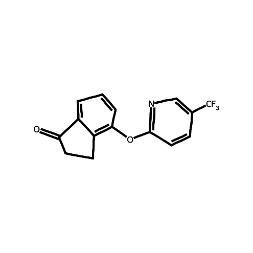 O=C1CCc2c(Oc3ccc(C(F)(F)F)cn3)cccc21